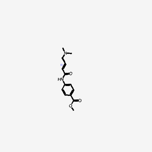 COC(=O)c1ccc(NC(=O)/C=C/CN(C)C)cc1